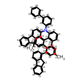 CC/C=C\C(Cc1cccc2c1Cc1ccccc1-2)c1ccccc1-c1c(-c2ccccc2)cccc1N(c1cccc(-c2ccccc2)c1)c1ccc2c(c1)C(C)(C)c1ccccc1-2